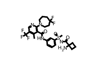 Cc1c(C(F)(F)F)cnc(N2CCCC(F)(F)CC2)c1C(=O)Nc1cccc(S(C)(=O)=NC(=O)C2(N)CCC2)c1